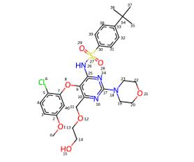 COc1ccc(Cl)c(Oc2c(COCCO)nc(N3CCOCC3)nc2NS(=O)(=O)c2ccc(C(C)(C)C)cc2)c1